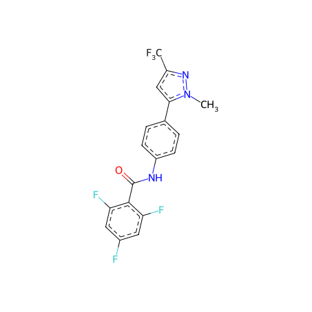 Cn1nc(C(F)(F)F)cc1-c1ccc(NC(=O)c2c(F)cc(F)cc2F)cc1